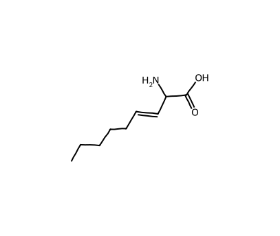 CCCCCC=CC(N)C(=O)O